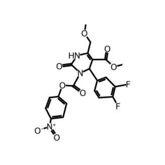 COCC1=C(C(=O)OC)C(c2ccc(F)c(F)c2)N(C(=O)Oc2ccc([N+](=O)[O-])cc2)C(=O)N1